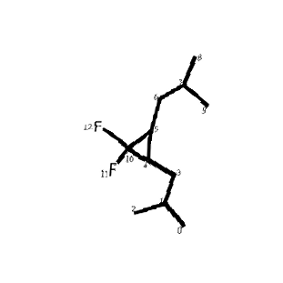 CC(C)CC1C(CC(C)C)C1(F)F